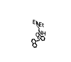 CCN(CC)CCCNC(=O)c1ccccc1SCc1cccc2ccccc12